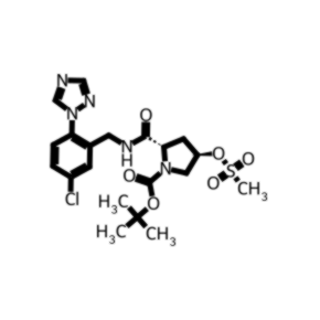 CC(C)(C)OC(=O)N1C[C@H](OS(C)(=O)=O)C[C@H]1C(=O)NCc1cc(Cl)ccc1-n1cncn1